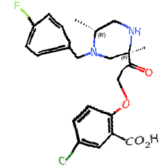 C[C@@H]1CN[C@@](C)(C(=O)COc2ccc(Cl)cc2C(=O)O)CN1Cc1ccc(F)cc1